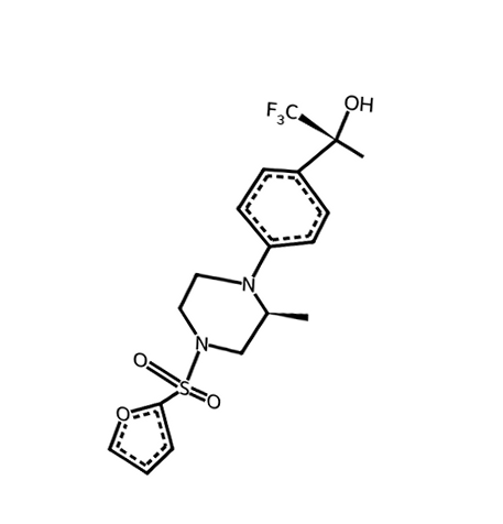 C[C@H]1CN(S(=O)(=O)c2ccco2)CCN1c1ccc([C@@](C)(O)C(F)(F)F)cc1